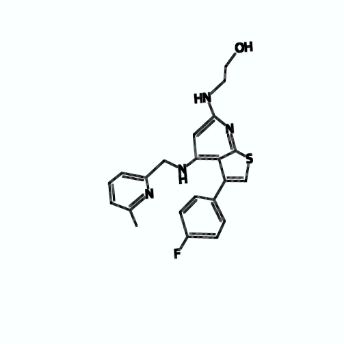 Cc1cccc(CNc2cc(NCCO)nc3scc(-c4ccc(F)cc4)c23)n1